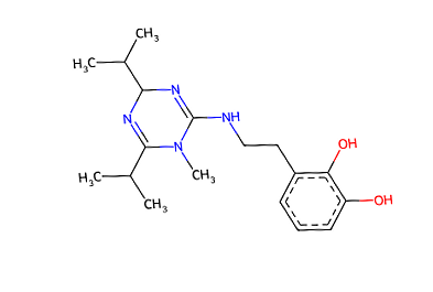 CC(C)C1=NC(C(C)C)N=C(NCCc2cccc(O)c2O)N1C